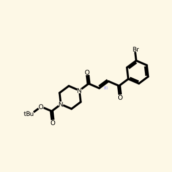 CC(C)(C)OC(=O)N1CCN(C(=O)/C=C/C(=O)c2cccc(Br)c2)CC1